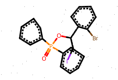 O=P(OC(CI)c1ccccc1Br)(c1ccccc1)c1ccccc1